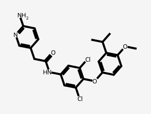 COc1ccc(Oc2c(Cl)cc(NC(=O)Cc3ccc(N)nc3)cc2Cl)cc1C(C)C